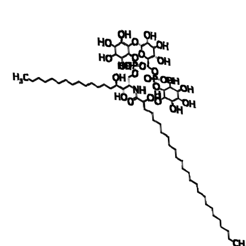 CCCCCCCCCCCCCCCCCCCCCCCCC(O)C(=O)N[C@@H](COP(=O)(O)O[C@H]1C(O)C(O)C(O)[C@@H](O)C1O[C@H]1O[C@H](COP(=O)(O)OC2C(O)C(O)C(O)[C@@H](O)C2O)[C@@H](O)C(O)C1O)[C@H](O)[C@H](O)CCCCCCCCCCCCCC